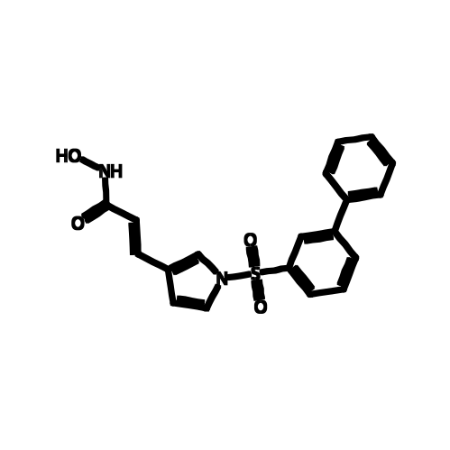 O=C(C=Cc1ccn(S(=O)(=O)c2cccc(-c3ccccc3)c2)c1)NO